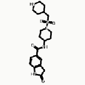 O=C1Cc2cc(C(=O)NC3CCN(S(=O)(=O)CC4CCNCC4)CC3)ccc2N1